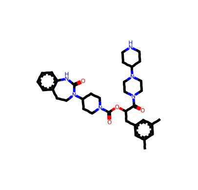 Cc1cc(C)cc(CC(OC(=O)N2CCC(N3CCc4ccccc4NC3=O)CC2)C(=O)N2CCN(C3CCNCC3)CC2)c1